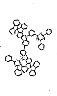 c1ccc(-c2nc(-c3ccccc3)nc(-c3cccc(-n4c5ccc(-c6ccc7c(c6)c6ccc8c(c6n7-c6nc(-c7ccccc7)nc(-c7ccccc7)n6)-c6ccccc6C86c7ccccc7-c7ccccc76)cc5c5ccc6c(c54)-c4ccccc4C64c5ccccc5-c5ccccc54)c3)n2)cc1